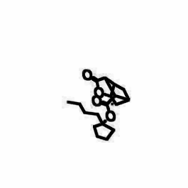 CCCCC1(OC(=O)C2C3[CH]C4OC(=O)C2C4C3)CCCC1